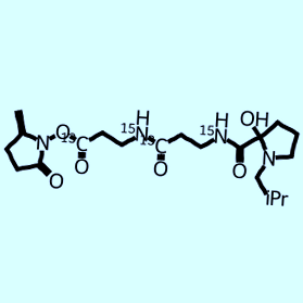 C=C1CCC(=O)N1O[13C](=O)CC[15NH][13C](=O)CC[15NH]C(=O)C1(O)CCCN1CC([13CH3])[13CH3]